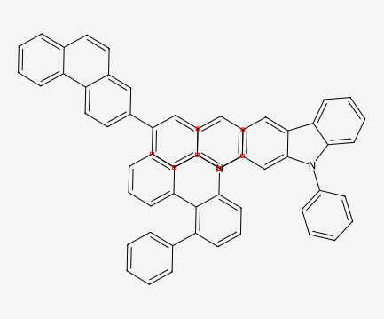 c1ccc(-c2ccccc2-c2c(-c3ccccc3)cccc2N(c2ccc(-c3ccc4c(ccc5ccccc54)c3)cc2)c2ccc3c4ccccc4n(-c4ccccc4)c3c2)cc1